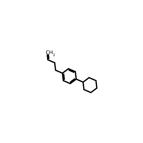 C=CCCc1ccc(C2CCCCC2)cc1